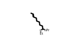 C/C=C/CCCCCC(CCC)SCC